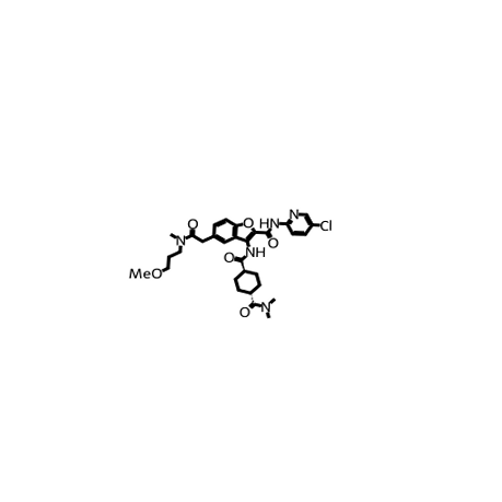 COCCCN(C)C(=O)Cc1ccc2oc(C(=O)Nc3ccc(Cl)cn3)c(NC(=O)[C@H]3CC[C@H](C(=O)N(C)C)CC3)c2c1